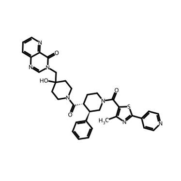 Cc1nc(-c2ccncc2)sc1C(=O)N1CC[C@@H](C(=O)N2CCC(O)(Cn3cnc4cccnc4c3=O)CC2)[C@H](c2ccccc2)C1